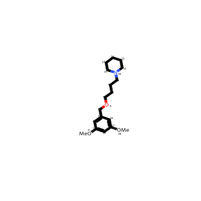 COc1cc(COCCCCN2CC[CH]CC2)cc(OC)c1